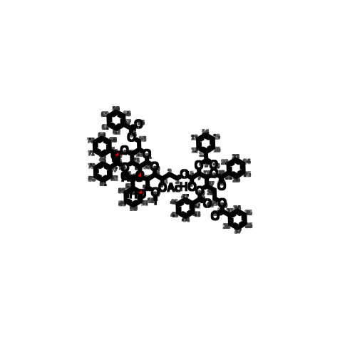 CC(=O)OC(CCOC(O)C(OC(=O)c1ccccc1)C(OC(=O)c1ccccc1)C(CCOC(=O)c1ccccc1)OC(=O)c1ccccc1)C(OC1OC(COC(=O)c2ccccc2)C(OC(=O)c2ccccc2)C(OC(=O)c2ccccc2)C1OC(=O)c1ccccc1)C(OC(C)=O)C(O)OI